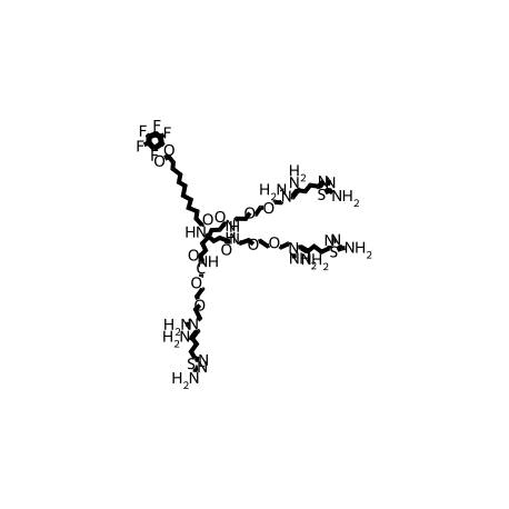 N/C(=C\N(N)CCOCCOCCNC(=O)CCC(CCC(=O)NCCOCCOCCN(N)/C=C(\N)CCc1nnc(N)s1)(CCC(=O)NCCOCCOCCN(N)/C=C(\N)CCc1nnc(N)s1)NC(=O)CCCCCCCCCCC(=O)Oc1c(F)c(F)c(F)c(F)c1F)CCc1nnc(N)s1